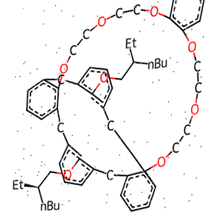 CCCCC(CC)COc1c2cccc1Cc1cccc3c1OCCOCCOc1ccccc1OCCOCCOc1c(cccc1Cc1cccc(c1OC[C@H](CC)CCCC)C3)C2